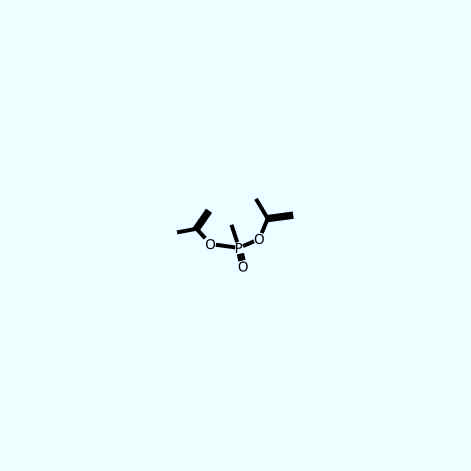 C=C(C)OP(C)(=O)OC(=C)C